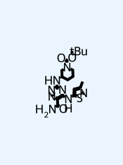 Cc1cc(Nc2nc(N[C@@H]3CCCN(C(=O)OC(C)(C)C)C3)nnc2C(N)=O)sn1